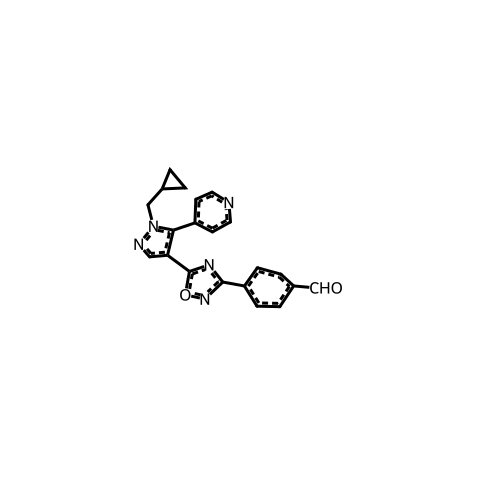 O=Cc1ccc(-c2noc(-c3cnn(CC4CC4)c3-c3ccncc3)n2)cc1